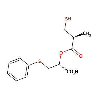 C[C@H](CS)C(=O)O[C@@H](CSc1ccccc1)C(=O)O